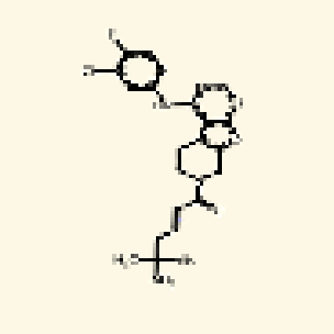 CC(C)(C)C(C)(N)C/C=C/C(=O)N1CCc2c(sc3ncnc(Nc4ccc(F)c(Cl)c4)c23)C1